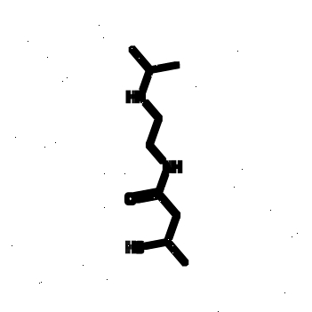 CC(S)CC(=O)NCCNC(C)C